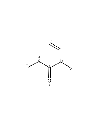 C=CC(C)C(=O)SC